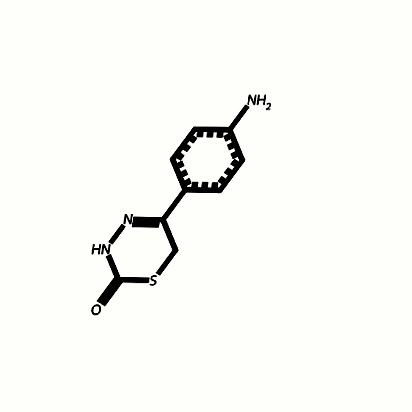 Nc1ccc(C2=NNC(=O)SC2)cc1